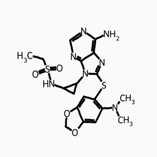 CCS(=O)(=O)NC1CC1n1c(Sc2cc3c(cc2N(C)C)OCO3)nc2c(N)ncnc21